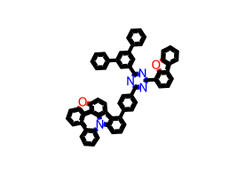 c1ccc(-c2cc(-c3ccccc3)cc(-c3nc(-c4ccc(-c5cccc6c5c5ccc7oc8cccc9c%10ccccc%10n6c5c7c89)cc4)nc(-c4cccc5c4oc4ccccc45)n3)c2)cc1